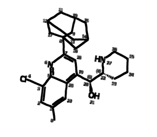 Cc1cc(Cl)c2nc(C34CC5CC(CC(C5)C3)C4)cc([C@H](O)[C@H]3CCCCN3)c2c1